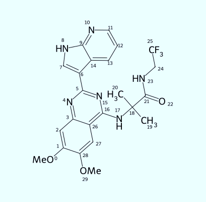 COc1cc2nc(-c3c[nH]c4ncccc34)nc(NC(C)(C)C(=O)NCC(F)(F)F)c2cc1OC